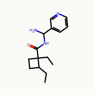 CCC1CCC1(CC)C(=O)NC(N)c1cccnc1